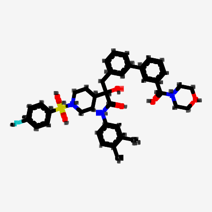 N#Cc1ccc(NC(=O)C(O)(Cc2cccc(-c3cccc(C(=O)N4CCOCC4)c3)c2)C2CCN(S(=O)(=O)c3ccc(F)cc3)CC2)cc1C(F)(F)F